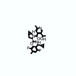 Cc1cc(C(=O)N2[C@@H](C(=O)N[C@@H](c3cc(F)c(C)cc3F)C3CC3)CC3C[C@H]32)c(C(C)O)cn1